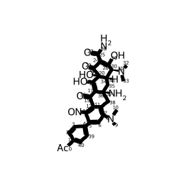 CC(=O)c1ccc(-c2cc(N(C)C)c3c(c2N=O)C(=O)C2=C(O)[C@]4(O)C(=O)C(C(N)=O)=C(O)[C@@H](N(C)C)[C@@H]4C[C@]2(N)C3)cc1